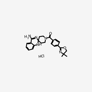 CC1(C)COC(c2ccc(C(=O)N3CCC4(CC3)N=C(N)c3ccccc3N4)cc2)=N1.Cl